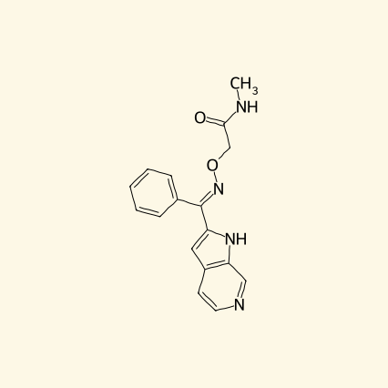 CNC(=O)CO/N=C(\c1ccccc1)c1cc2ccncc2[nH]1